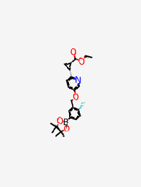 CCOC(=O)[C@@H]1C[C@H]1c1ccc(OCc2cc(B3OC(C)(C)C(C)(C)O3)ccc2F)cn1